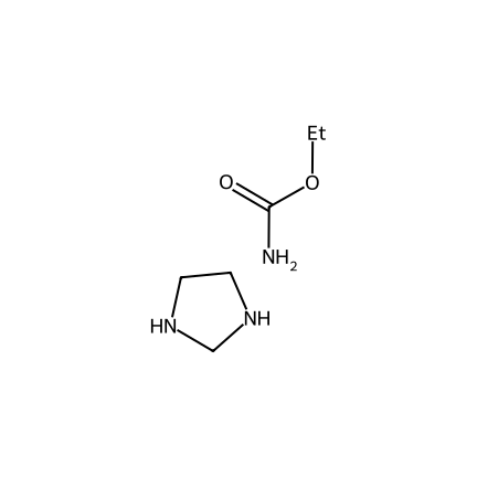 C1CNCN1.CCOC(N)=O